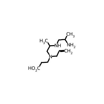 C=CCN(CCC(=O)O)CC(C)NCC(C)N